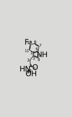 O=C(Cc1c[nH]c2ccc(F)cc12)NO